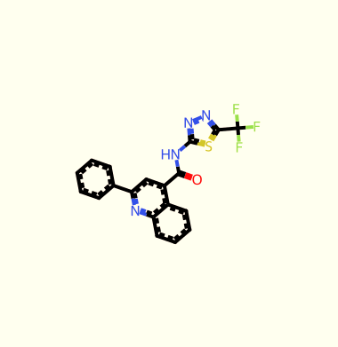 O=C(Nc1nnc(C(F)(F)F)s1)c1cc(-c2ccccc2)nc2ccccc12